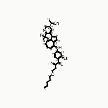 C=CCCCOCCC(=N)C(=O)c1ccc(Nc2ccccc3c(C4=C[C@H](C(C)C#N)CN=C4C(C)(F)F)ccc2-3)cc1CC